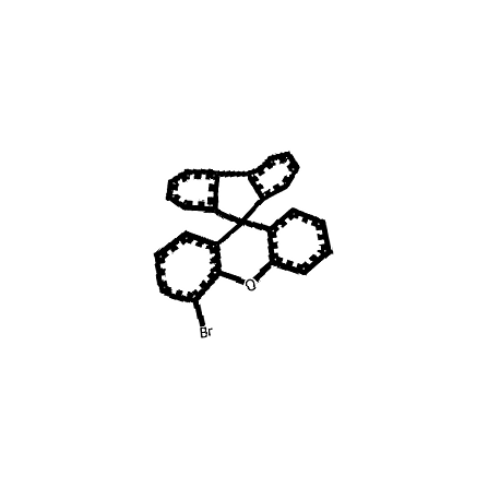 Brc1cccc2c1Oc1ccccc1C21c2ccccc2-c2ccccc21